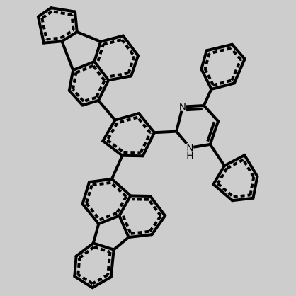 C1=C(c2ccccc2)NC(c2cc(-c3ccc4c5c(cccc35)-c3ccccc3-4)cc(-c3ccc4c5c(cccc35)-c3ccccc3-4)c2)N=C1c1ccccc1